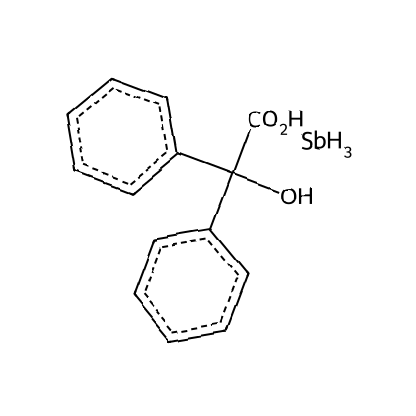 O=C(O)C(O)(c1ccccc1)c1ccccc1.[SbH3]